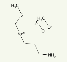 CS[CH2][Sn+2][CH2]CCN.C[O-].C[O-]